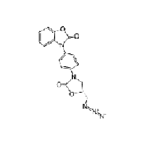 [N-]=[N+]=NC[C@H]1CN(c2ccc(-n3c(=O)oc4ccccc43)cc2)C(=O)O1